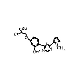 CCCCC(CC)COc1ccc(-c2ncnc(-c3cccn3C)n2)c(O)c1